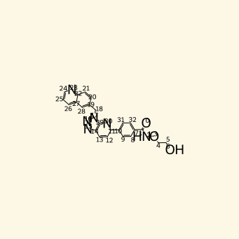 O=C(NOCCO)c1ccc(-c2ccc3nnn(Cc4ccc5ncccc5c4)c3n2)cc1